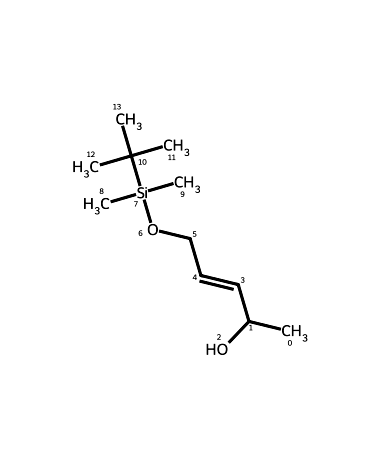 CC(O)C=CCO[Si](C)(C)C(C)(C)C